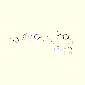 Cc1nc(O[C@H]2C(C)(C)[C@H](NC(=O)c3ccc(N4CCN(CCOCC(=O)N[C@H](C(=O)N5C[C@H](O)C[C@H]5C(=O)N[C@@H](C)c5ccc(-c6scnc6C)cc5)C(C)(C)C)CC4)nc3)C2(C)C)ccc1C#N